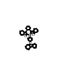 c1ccc2c(c1)-c1c(oc3ccccc13)B(c1ccc(-n3c4ccccc4c4ccccc43)cc1)c1oc3ccccc3c1-2